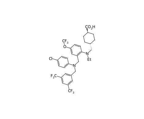 CCN(C[C@H]1CC[C@H](C(=O)O)CC1)c1ccc(OC(F)(F)F)cc1CN(Cc1cc(C(F)(F)F)cc(C(F)(F)F)c1)c1ccc(Cl)cc1